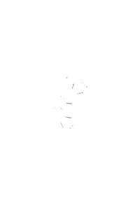 CC(C)(C)c1cnccc1CN1C(=O)N(c2ccc(OC(F)(F)F)cc2)C(=O)C12CC2